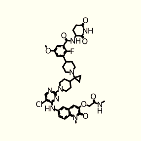 CNC(=O)COc1cc2cc(Nc3nc(N4CCC(C5(N6CCC(c7cc(OC)cc(C(=O)NC8CCC(=O)NC8=O)c7F)CC6)CC5)CC4)ncc3Cl)ccc2n(C)c1=O